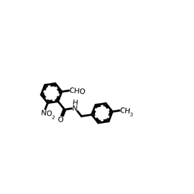 Cc1ccc(CNC(=O)c2c(C=O)cccc2[N+](=O)[O-])cc1